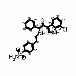 NS(=O)(=O)c1ccc(CCN[C@@H](C(=O)c2c[nH]c3c(Cl)cccc23)c2ccccc2)cc1